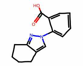 O=C(O)c1ccccc1-n1cc2c(n1)CCCC2